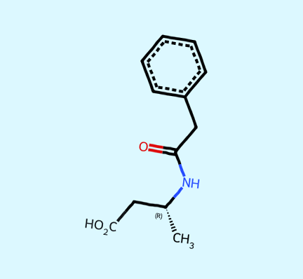 C[C@H](CC(=O)O)NC(=O)Cc1ccccc1